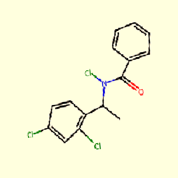 CC(c1ccc(Cl)cc1Cl)N(Cl)C(=O)c1ccccc1